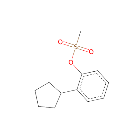 CS(=O)(=O)Oc1ccccc1C1CCCC1